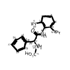 CC(C)c1cccc(C(C)C)c1NC(=O)[C@@H](NC(=O)O)c1ccccc1